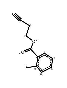 C#CCCOC(=O)c1ccccc1C